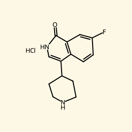 Cl.O=c1[nH]cc(C2CCNCC2)c2ccc(F)cc12